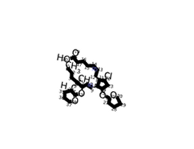 CCCCC(C)(C)[C@@H](/C=C/[C@@H]1[C@@H](C/C=C\CCCC(=O)O)[C@H](Cl)C[C@H]1OC1CCCCO1)OC1CCCCO1